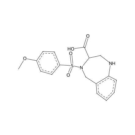 COc1ccc(S(=O)(=O)N2Cc3ccccc3NCC2C(=O)O)cc1